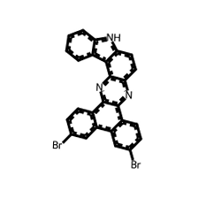 Brc1ccc2c(c1)c1cc(Br)ccc1c1nc3c(ccc4[nH]c5ccccc5c43)nc21